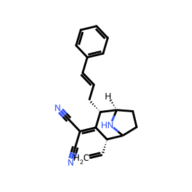 C=C[C@@H]1C(=C(C#N)C#N)[C@H](C/C=C/c2ccccc2)[C@H]2CCC1N2